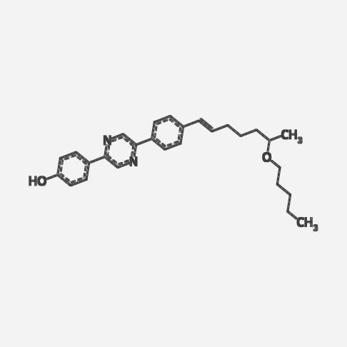 CCCCCOC(C)CCCC=Cc1ccc(-c2cnc(-c3ccc(O)cc3)cn2)cc1